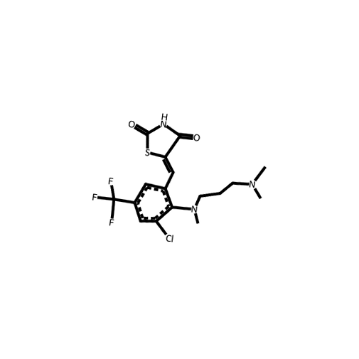 CN(C)CCCN(C)c1c(Cl)cc(C(F)(F)F)cc1/C=C1\SC(=O)NC1=O